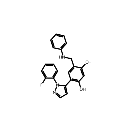 Oc1cc(O)c(-c2ccnn2-c2ccccc2F)cc1CNc1ccccc1